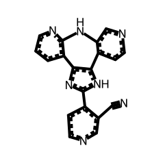 N#Cc1cnccc1-c1nc2c([nH]1)-c1ccncc1Nc1ncccc1-2